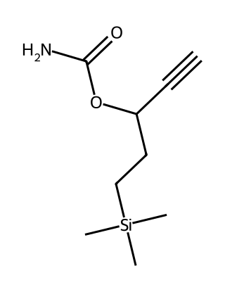 C#CC(CC[Si](C)(C)C)OC(N)=O